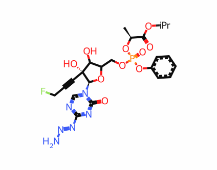 CC(C)OC(=O)[C@H](C)OP(=O)(OCC1O[C@@H](n2cnc(N=NN)nc2=O)[C@@](O)(C#CCF)C1O)Oc1ccccc1